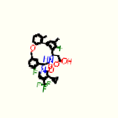 Cc1cc2cc(c1F)[C@@H](CC(=O)O)NC(=O)[C@@H](n1ccc(C(F)(F)F)c(C3CC3)c1=O)c1cc(ccc1F)COc1cccc(C)c1-2